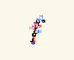 COc1cnc(NC2CCC2)cc1C(=O)NCC(O)C1Cc2ccc(OCc3ocnc3C)cc2CN1